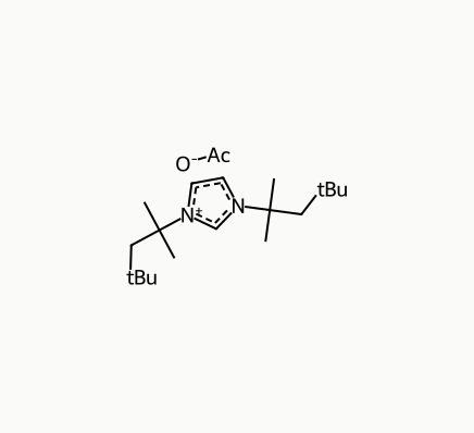 CC(=O)[O-].CC(C)(C)CC(C)(C)n1cc[n+](C(C)(C)CC(C)(C)C)c1